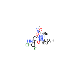 CCC(C)C(NC(=O)O)C(=O)N[C@]1(C(=O)NC(c2nnc(C)o2)C(C)CC)CCc2[nH]c3c(Cl)cc(Cl)cc3c2C1